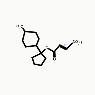 CC1CCC(C2(OC(=O)/C=C/C(=O)O)CCCC2)CC1